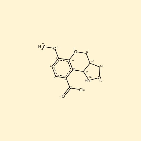 COc1ccc(C(=O)Cl)c2c1OCC1CONC21